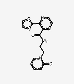 O=C(NCCn1ccccc1=O)c1nccnc1-c1ncco1